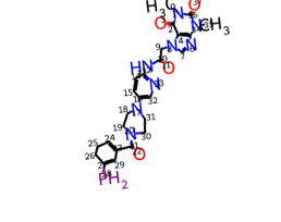 Cn1c(=O)c2c(ncn2CC(=O)Nc2ccc(N3CCN(C(=O)C4=CCCC(P)=C4)CC3)cn2)n(C)c1=O